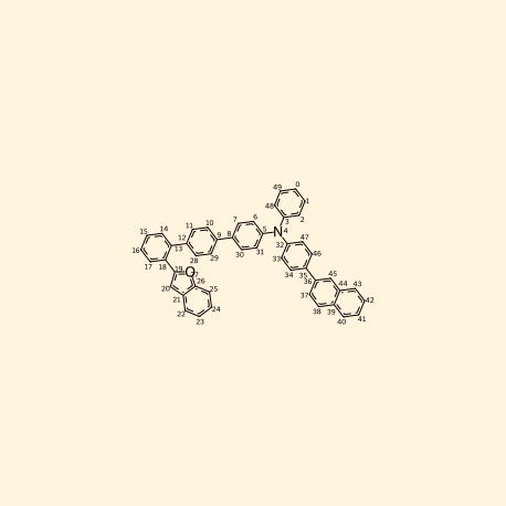 c1ccc(N(c2ccc(-c3ccc(-c4ccccc4-c4cc5ccccc5o4)cc3)cc2)c2ccc(-c3ccc4ccccc4c3)cc2)cc1